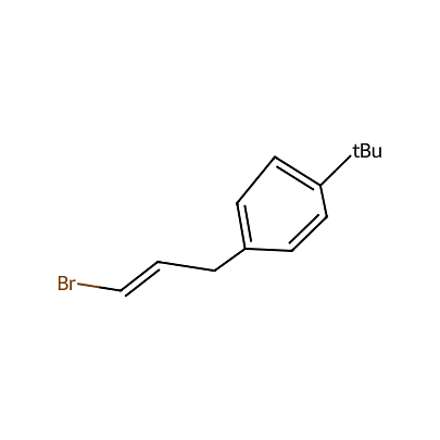 CC(C)(C)c1ccc(C/C=C/Br)cc1